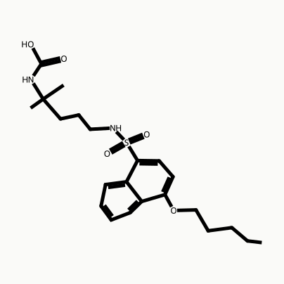 CCCCCOc1ccc(S(=O)(=O)NCCCC(C)(C)NC(=O)O)c2ccccc12